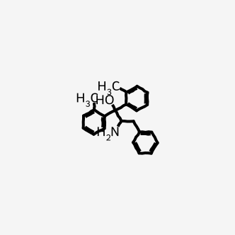 Cc1ccccc1C(O)(c1ccccc1C)C(N)Cc1ccccc1